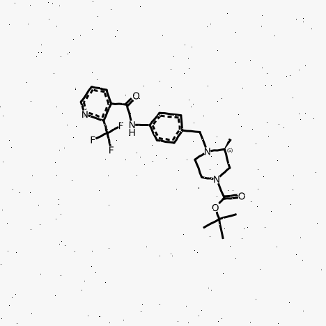 C[C@H]1CN(C(=O)OC(C)(C)C)CCN1Cc1ccc(NC(=O)c2cccnc2C(F)(F)F)cc1